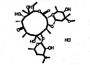 CC[C@H]1OC(=O)[C@H](C)[C@@H](O[C@H]2C[C@@](C)(OC)[C@@H](O)[C@H](C)O2)[C@@H](C)[C@@H](O[C@@H]2O[C@H](C)C[C@H](N(C)C)[C@H]2O)[C@](C)(O)C[C@@H](C)C(=O)[C@H](C)[C@H](O)[C@]1(C)O.Cl